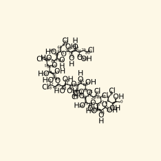 C/C(O)=C(\O)C(CCCl)OC(O)/C(O)=C(/O)C(CCCl)OC(O)/C(O)=C(/O)C(CCCl)OC1OC(CCl)C(OC(O)/C(O)=C(\O)C(CCCl)OC(O)/C(O)=C(\O)C(CCCl)OC(O)/C(O)=C(\O)C(CCCl)OC(O)/C(O)=C(\O)C(CCCl)OO)C(O)C1O